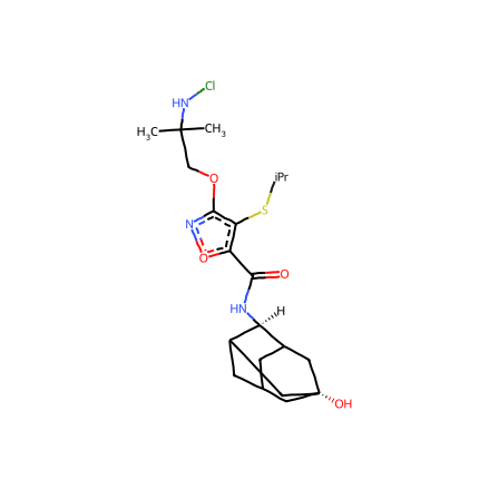 CC(C)Sc1c(OCC(C)(C)NCl)noc1C(=O)N[C@H]1C2CC3CC1C[C@](O)(C3)C2